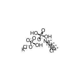 O=P([O-])(O)O.O=P([O-])([O-])O.[Cl-].[Cl-].[K+].[Na+].[Na+].[Na+].[Na+]